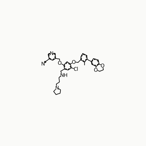 Cc1c(COc2cc(OCc3cncc(C#N)c3)c(CNCCCN3CCCC3)cc2Cl)cccc1-c1ccc2c(c1)OCCO2